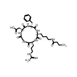 CCCC(=O)NCCCC[C@@H]1NC(=O)[C@@H](Cc2ccccc2)NC(=O)[C@H](CC(=O)O)NC(=O)CNC(=O)[C@H](CCCNC(=N)N)NC1=O